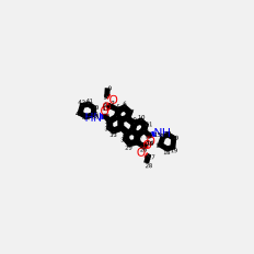 CCOC(=O)c1ccc2c3ccc(C(=O)NC4CCCCC4)c4c(C(=O)OCC)ccc(c5ccc(C(=O)NC6CCCCC6)c1c52)c43